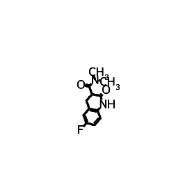 CN(C)C(=O)C1Cc2cc(F)ccc2NC1=O